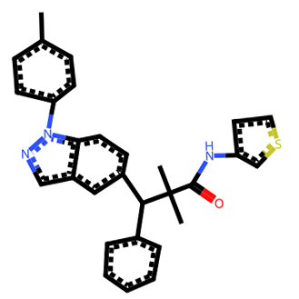 Cc1ccc(-n2ncc3cc(C(c4ccccc4)C(C)(C)C(=O)Nc4ccsc4)ccc32)cc1